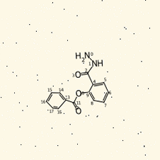 NNC(=O)c1ccccc1OC(=O)c1ccccc1